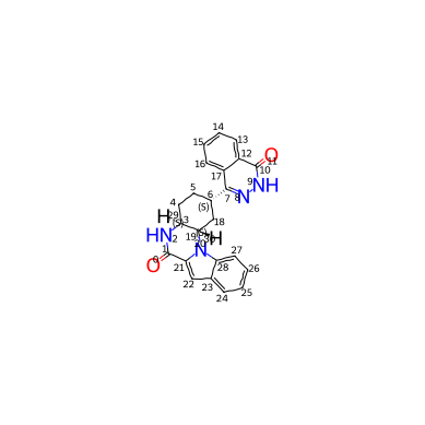 O=C1N[C@H]2CC[C@H](c3n[nH]c(=O)c4ccccc34)C[C@@H]2n2c1cc1ccccc12